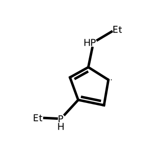 CCPC1=CC(PCC)=C[CH]1